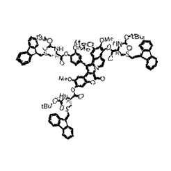 COc1cc(-c2c3c4cc(OC)c(OC(=O)[C@H](CSC=C5c6ccccc6-c6ccccc65)NC(=O)OC(C)(C)C)cc4oc(=O)c3n3ccc4c(OC(=O)[C@H](CSC=C5c6ccccc6-c6ccccc65)NC(=O)OC(C)(C)C)c(OC)c(OC)cc4c23)ccc1OC(=O)[C@H](CSC=C1c2ccccc2-c2ccccc21)NC(=O)OC(C)(C)C